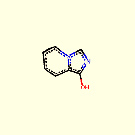 Oc1ncn2ccccc12